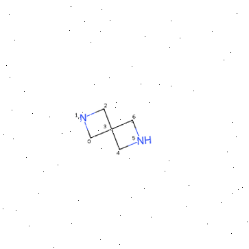 C1[N]CC12CNC2